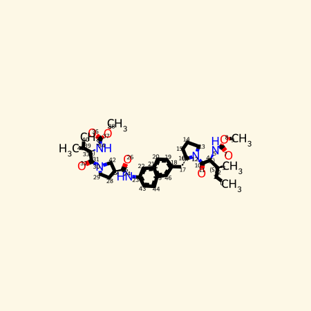 CC[C@H](C)[C@H](NC(=O)OC)C(=O)N1CCC[C@H]1Cc1ccc2cc(NC(=O)[C@H]3CCN(C(=O)[C@@H](NC(=O)OC)C(C)C)C3)ccc2c1